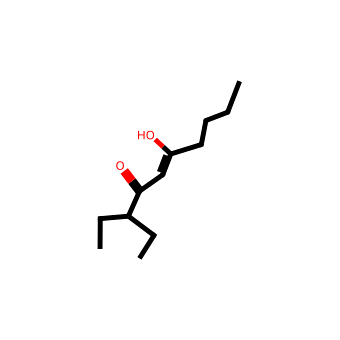 CCCC/C(O)=C/C(=O)C(CC)CC